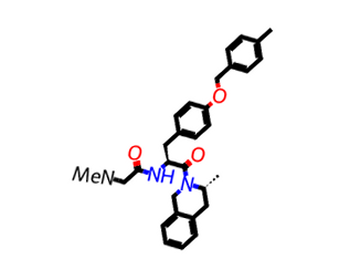 CNCC(=O)N[C@@H](Cc1ccc(OCc2ccc(C)cc2)cc1)C(=O)N1Cc2ccccc2C[C@H]1C